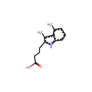 Cc1cccc2[nH]c(CCCC(=O)O)c(C)c12